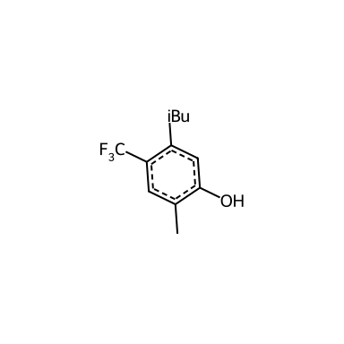 CCC(C)c1cc(O)c(C)cc1C(F)(F)F